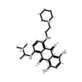 CC(Nc1ccc(NCCN2CCCCC2)c2c1C(=O)c1c(O)ccc(O)c1C2=O)N(C)C